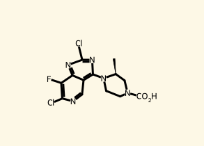 C[C@H]1CN(C(=O)O)CCN1c1nc(Cl)nc2c(F)c(Cl)ncc12